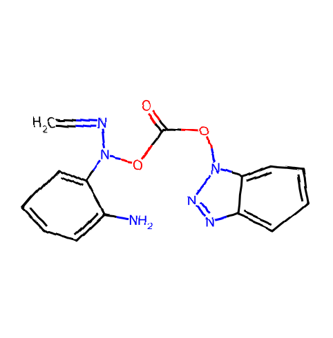 C=NN(OC(=O)On1nnc2ccccc21)c1ccccc1N